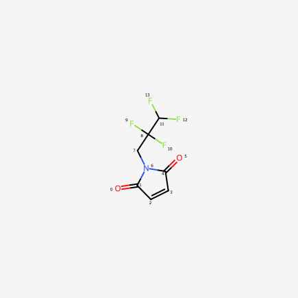 O=C1C=CC(=O)N1CC(F)(F)C(F)F